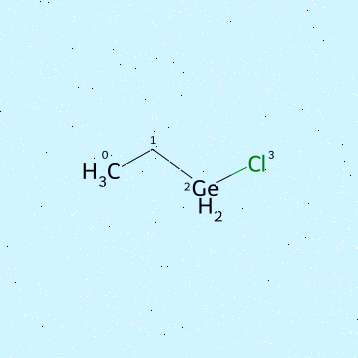 C[CH2][GeH2][Cl]